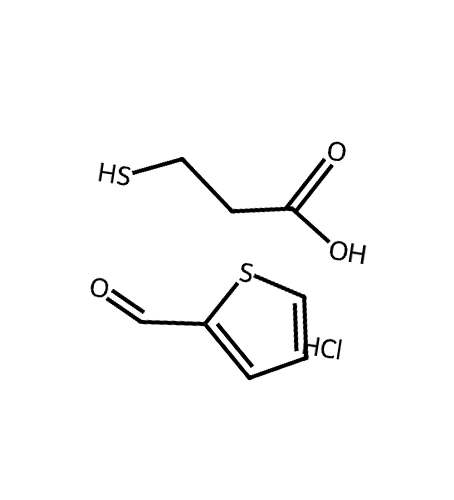 Cl.O=C(O)CCS.O=Cc1cccs1